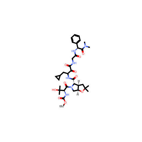 CN(C)C(=O)[C@@H](NC(=O)CNC(=O)C(=O)C(CC1CC1)NC(=O)[C@@H]1[C@H]2CC(C)(C)O[C@H]2CN1C(=O)[C@@H](NC(=O)OC(C)(C)C)C(C)(C)O)c1ccccc1